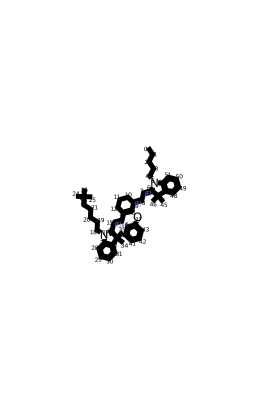 CCCCCN1/C(=C/C=C2\CCCC(/C=C/C3=[N+](CCCCCC(C)(C)C)c4ccccc4C3(C)C)=C2Oc2ccccc2)C(C)(C)c2ccccc21